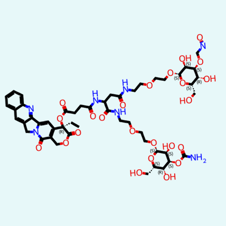 CC[C@]1(OC(=O)CCC(=O)NC(CC(=O)NCCOCCO[C@H]2O[C@@H](CO)[C@@H](O)[C@H](OCN=O)[C@@H]2O)C(=O)NCCOCCO[C@H]2O[C@@H](CO)[C@@H](O)[C@H](OC(N)=O)[C@@H]2O)C(=O)OCc2c1cc1n(c2=O)Cc2cc3ccccc3nc2-1